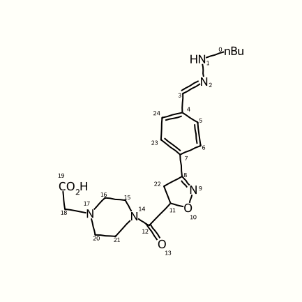 CCCCNN=Cc1ccc(C2=NOC(C(=O)N3CCN(CC(=O)O)CC3)C2)cc1